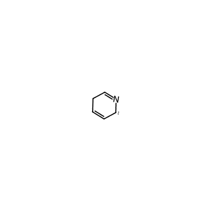 [C]1C=CCC=N1